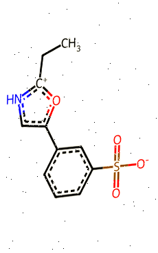 CC[c+]1[nH]cc(-c2cccc(S(=O)(=O)[O-])c2)o1